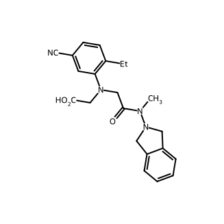 CCc1ccc(C#N)cc1N(CC(=O)O)CC(=O)N(C)N1Cc2ccccc2C1